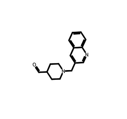 O=CC1CCN(Cc2cnc3ccccc3c2)CC1